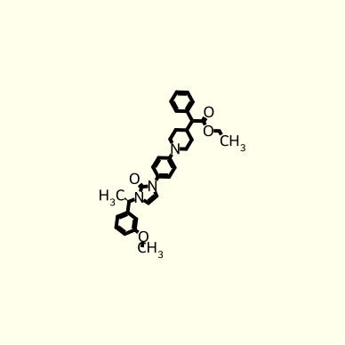 CCOC(=O)C(c1ccccc1)C1CCN(c2ccc(-n3ccn([C@@H](C)c4cccc(OC)c4)c3=O)cc2)CC1